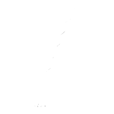 [CH]=C/C=C/C=C/C=C/C=C/C=C/CCCCCCCCCCCCC